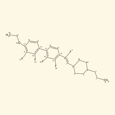 CCCC1CCC(/C=C(\F)c2ccc(-c3ccc(OCC)c(F)c3F)c(F)c2F)CC1